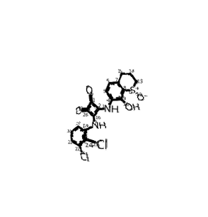 O=c1c(Nc2ccc3c(c2O)[S+]([O-])CCC3)c(Nc2cccc(Cl)c2Cl)c1=O